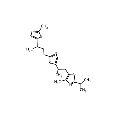 Cc1cnc(C(C)CCc2ncc(C(C)Cc3oc(C(C)C)nc3C)s2)s1